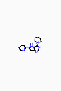 c1ccc(-c2cc3ncnc(N4CCCCC4)c3[nH]2)nc1